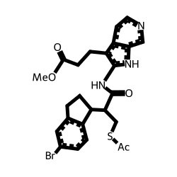 COC(=O)CCc1c(NC(=O)C(CSC(C)=O)C2CCc3cc(Br)ccc32)[nH]c2cnccc12